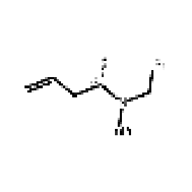 C=CC[C@H](C)N(CCC)CC(C)C